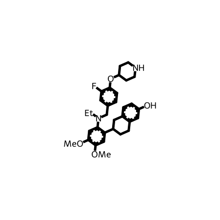 CCN(Cc1ccc(OC2CCNCC2)c(F)c1)c1cc(OC)c(OC)cc1C1CCc2cc(O)ccc2C1